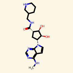 CNc1ncnc2c1ccn2[C@@H]1C[C@H](C(=O)NCC2CCCNC2)[C@@H](O)[C@H]1O